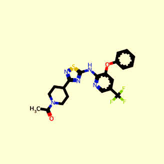 CC(=O)N1CCC(c2nsc(Nc3ncc(C(F)(F)F)cc3Oc3ccccc3)n2)CC1